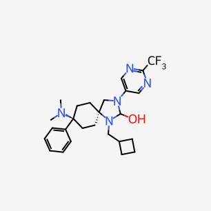 CN(C)[C@]1(c2ccccc2)CC[C@]2(CC1)CN(c1cnc(C(F)(F)F)nc1)C(O)N2CC1CCC1